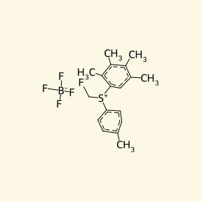 Cc1ccc([S+](CF)c2cc(C)c(C)c(C)c2C)cc1.F[B-](F)(F)F